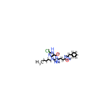 CCCCCn1c2nc(Cl)[nH]c2c(=O)n2c(CCc3nc(Cc4ccccc4)no3)nnc12